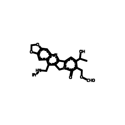 CC(C)NCc1c2c(nc3cc4c(cc13)OCO4)-c1cc(C(C)O)c(COC=O)c(=O)n1C2